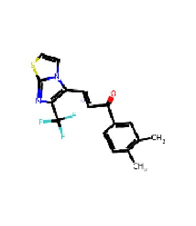 Cc1ccc(C(=O)/C=C/c2c(C(F)(F)F)nc3sccn23)cc1C